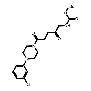 CC(C)(C)OC(=O)NCC(=O)CCC(=O)N1CCN(c2cccc(Cl)c2)CC1